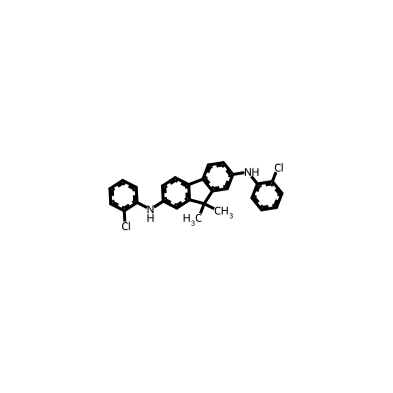 CC1(C)c2cc(Nc3ccccc3Cl)ccc2-c2ccc(Nc3ccccc3Cl)cc21